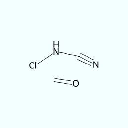 C=O.N#CNCl